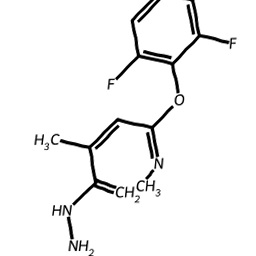 C=C(NN)/C(C)=C\C(=N/C)Oc1c(F)cccc1F